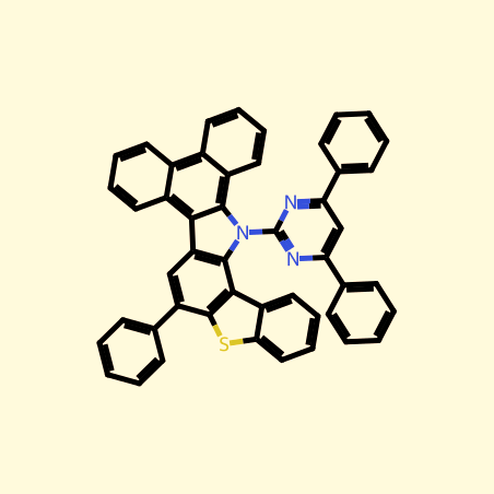 c1ccc(-c2cc(-c3ccccc3)nc(-n3c4c(cc(-c5ccccc5)c5sc6ccccc6c54)c4c5ccccc5c5ccccc5c43)n2)cc1